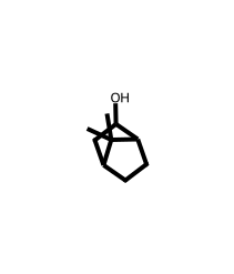 CC1(C)C2CCC1C(O)C2